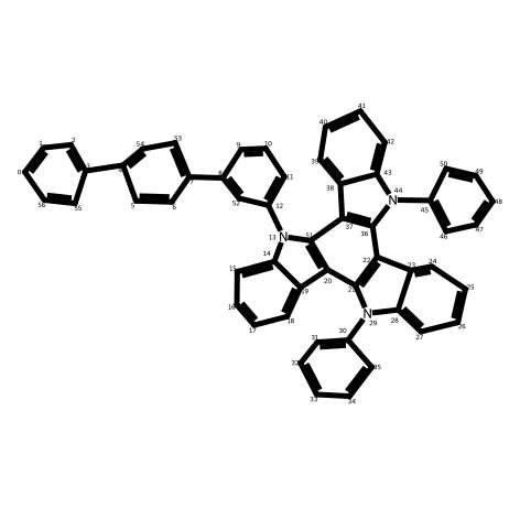 c1ccc(-c2ccc(-c3cccc(-n4c5ccccc5c5c6c(c7ccccc7n6-c6ccccc6)c6c(c7ccccc7n6-c6ccccc6)c54)c3)cc2)cc1